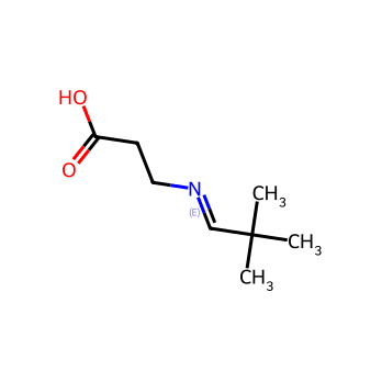 CC(C)(C)/C=N/CCC(=O)O